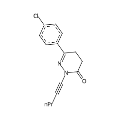 CCCC#CN1N=C(c2ccc(Cl)cc2)CCC1=O